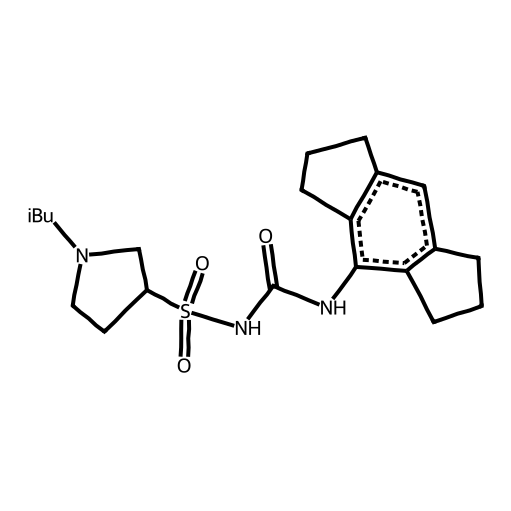 CCC(C)N1CCC(S(=O)(=O)NC(=O)Nc2c3c(cc4c2CCC4)CCC3)C1